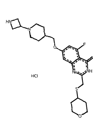 Cl.O=c1[nH]c(CSC2CCOCC2)nc2cc(OCC3CCN(C4CNC4)CC3)cc(F)c12